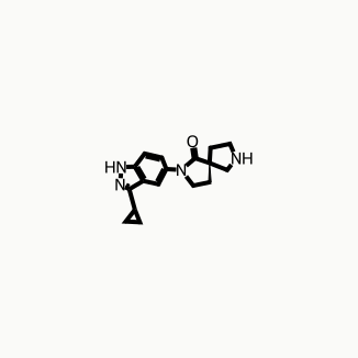 O=C1N(c2ccc3[nH]nc(C4CC4)c3c2)CC[C@]12CCNC2